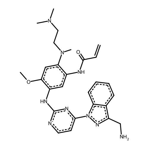 C=CC(=O)Nc1cc(Nc2nccc(-n3nc(CN)c4ccccc43)n2)c(OC)cc1N(C)CCN(C)C